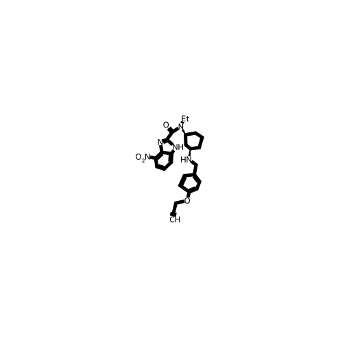 C#CCOc1ccc(CN[C@@H]2CCC[C@H](N(CC)C(=O)c3nc4c([N+](=O)[O-])cccc4[nH]3)C2)cc1